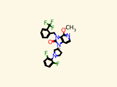 COc1nccc2c1n(Cc1ccccc1C(F)(F)F)c(=O)n2[C@@H]1CCN(c2c(F)cccc2F)C1